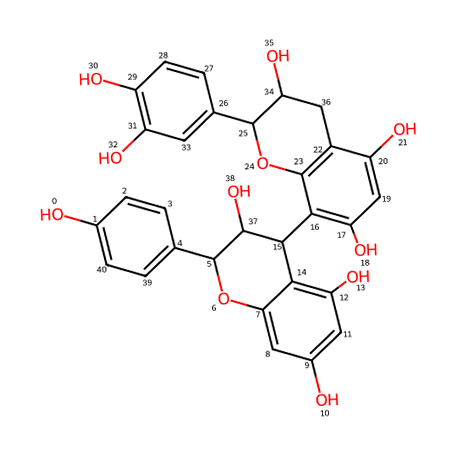 Oc1ccc(C2Oc3cc(O)cc(O)c3C(c3c(O)cc(O)c4c3OC(c3ccc(O)c(O)c3)C(O)C4)C2O)cc1